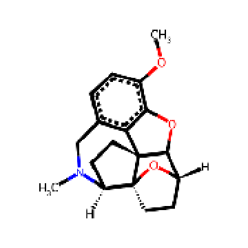 COc1ccc2c3c1OC1[C@@H]4CC[C@]5(O4)[C@H](CC[C@@]315)N(C)C2